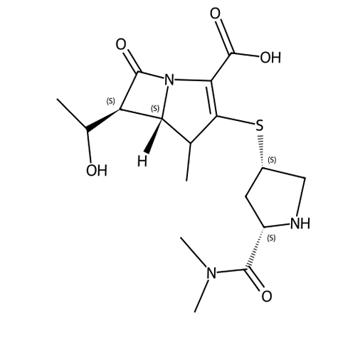 CC(O)[C@H]1C(=O)N2C(C(=O)O)=C(S[C@@H]3CN[C@H](C(=O)N(C)C)C3)C(C)[C@H]12